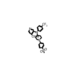 COc1ccncc1N(c1ccc(C(F)(F)F)cc1)C1CCN(c2ccc(S(C)(=O)=O)cc2)CC1